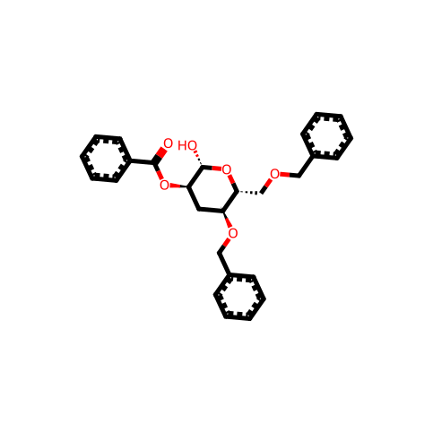 O=C(O[C@@H]1C[C@H](OCc2ccccc2)[C@@H](COCc2ccccc2)O[C@H]1O)c1ccccc1